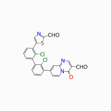 O=Cc1ncc(-c2cccc(-c3cccc(-c4ccn5c(=O)c(C=O)cnc5c4)c3Cl)c2Cl)s1